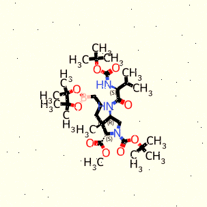 COC(=O)[C@H]1N(C(=O)OC(C)(C)C)C[C@H](NC(=O)[C@@H](NC(=O)OC(C)(C)C)C(C)C)[C@@]1(C)CCCB1OC(C)(C)C(C)(C)O1